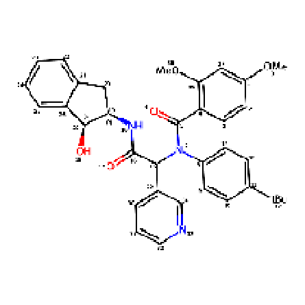 COc1ccc(C(=O)N(c2ccc(C(C)(C)C)cc2)C(C(=O)N[C@@H]2Cc3ccccc3[C@@H]2O)c2cccnc2)c(OC)c1